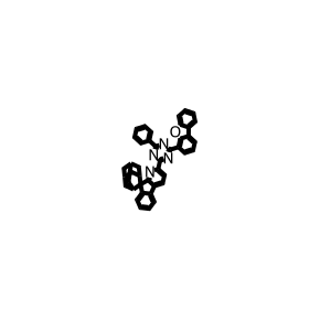 c1ccc(-c2nc(-c3ccc4c(n3)C3(c5ccccc5-4)C4CC5CC(C4)CC3C5)nc(-c3cccc4c3oc3ccccc34)n2)cc1